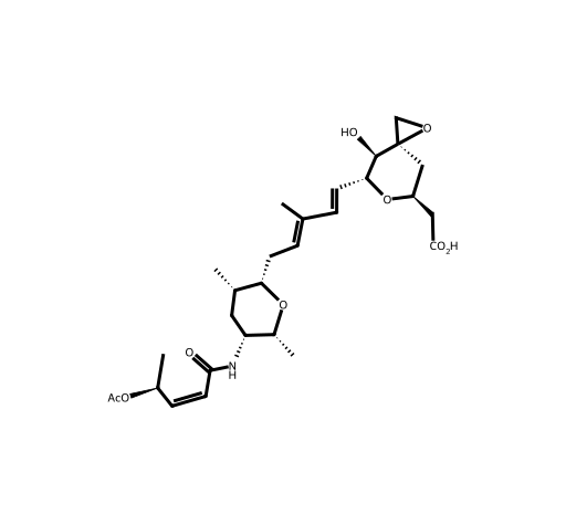 CC(=O)O[C@@H](C)/C=C\C(=O)N[C@@H]1C[C@H](C)[C@H](C/C=C(C)/C=C/[C@H]2O[C@H](CC(=O)O)C[C@@]3(CO3)[C@@H]2O)O[C@@H]1C